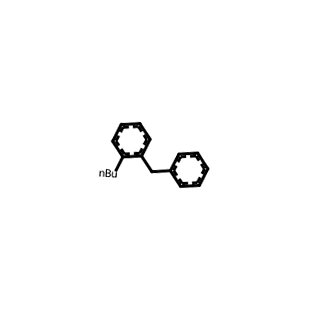 CCCCc1ccccc1Cc1ccccc1